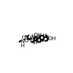 CCNC(=O)O[C@H](C(C)C)[C@H]1C[C@@H](C)[C@H]2[C@H](O1)[C@H](O)[C@@]1(C)[C@@H]3CC[C@H]4C(C)(C)[C@@H](O)CC[C@@]45C[C@@]35CC[C@]21C